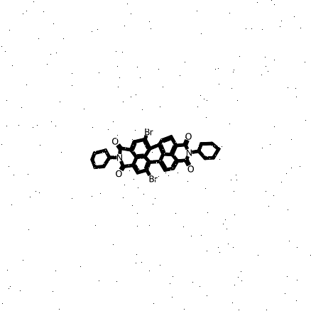 O=C1c2ccc3c4c(Br)cc5c6c(cc(Br)c(c7ccc(c2c37)C(=O)N1C1CCCCC1)c64)C(=O)N(C1CCCCC1)C5=O